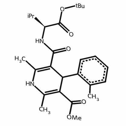 COC(=O)C1=C(C)NC(C)=C(C(=O)N[C@H](C(=O)OC(C)(C)C)C(C)C)C1c1ccccc1C